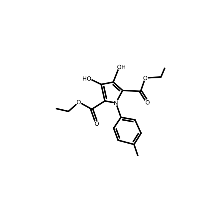 CCOC(=O)c1c(O)c(O)c(C(=O)OCC)n1-c1ccc(C)cc1